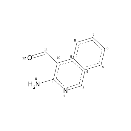 Nc1ncc2ccccc2c1C=O